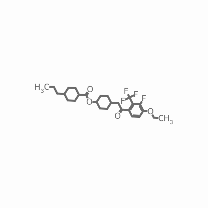 CCCC1CCC(C(=O)OC2CCC(CC(=O)c3ccc(OCC)c(F)c3C(F)(F)F)CC2)CC1